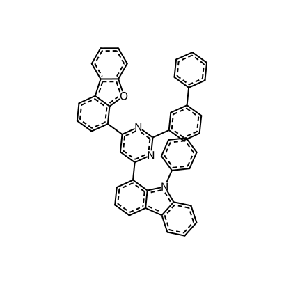 c1ccc(-c2cccc(-c3nc(-c4cccc5c4oc4ccccc45)cc(-c4cccc5c6ccccc6n(-c6ccccc6)c45)n3)c2)cc1